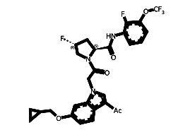 CC(=O)c1cn(CC(=O)N2C[C@H](F)C[C@H]2C(=O)Nc2cccc(OC(F)(F)F)c2F)c2cc(OCC3CC3)ccc12